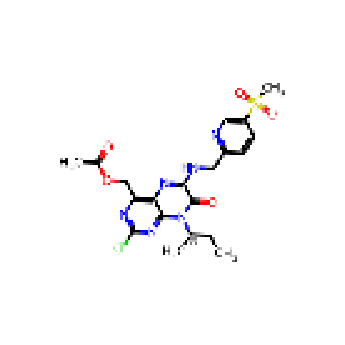 CC[C@@H](C)n1c(=O)c(NCc2ccc(S(C)(=O)=O)cn2)nc2c(COC(C)=O)nc(Cl)nc21